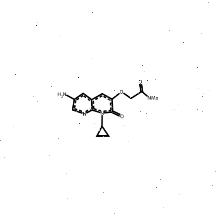 CNC(=O)COc1cc2cc(N)cnc2n(C2CC2)c1=O